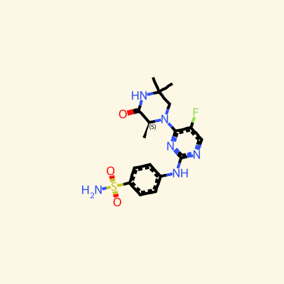 C[C@H]1C(=O)NC(C)(C)CN1c1nc(Nc2ccc(S(N)(=O)=O)cc2)ncc1F